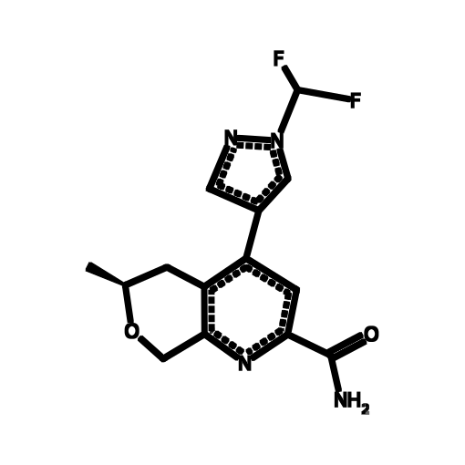 C[C@H]1Cc2c(-c3cnn(C(F)F)c3)cc(C(N)=O)nc2CO1